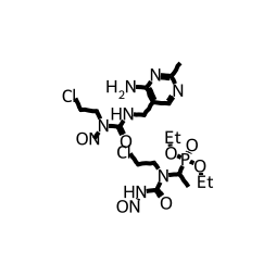 CCOP(=O)(OCC)C(C)N(CCCl)C(=O)NN=O.Cc1ncc(CNC(=O)N(CCCl)N=O)c(N)n1